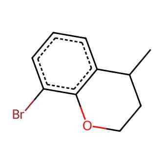 CC1CCOc2c(Br)cccc21